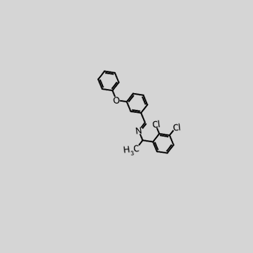 CC(/N=C/c1cccc(Oc2ccccc2)c1)c1cccc(Cl)c1Cl